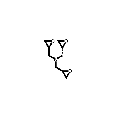 C1OC1CN(CC1CO1)C[C@@H]1CO1